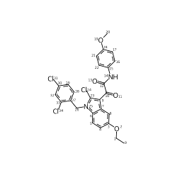 CCOc1ccc2c(c1)c(C(=O)C(=O)Nc1ccc(OC)cc1)c(Cl)n2Cc1ccc(Cl)cc1Cl